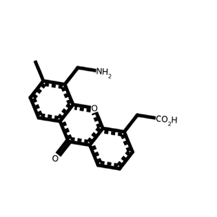 Cc1ccc2c(=O)c3cccc(CC(=O)O)c3oc2c1CN